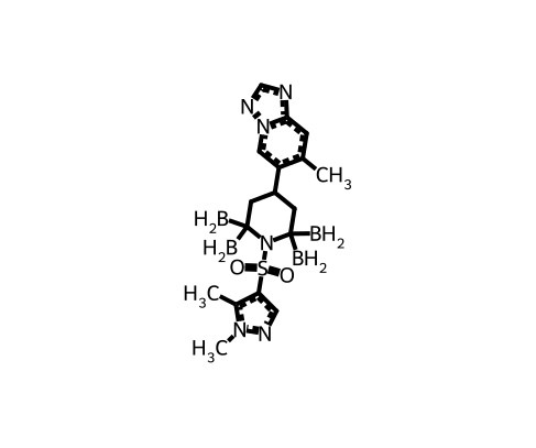 BC1(B)CC(c2cn3ncnc3cc2C)CC(B)(B)N1S(=O)(=O)c1cnn(C)c1C